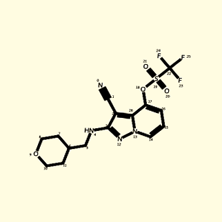 N#Cc1c(NCC2CCOCC2)nn2cccc(OS(=O)(=O)C(F)(F)F)c12